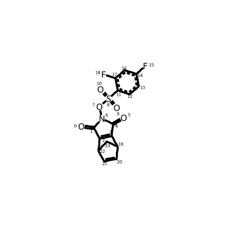 O=C1C2=C(C(=O)N1OS(=O)(=O)c1ccc(F)cc1F)C1C=CC2C1